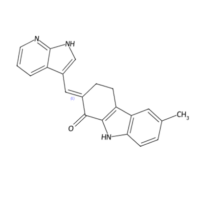 Cc1ccc2[nH]c3c(c2c1)CC/C(=C\c1c[nH]c2ncccc12)C3=O